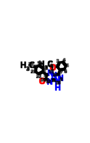 COc1ccccc1-c1n[nH]c2nc(=O)c(-c3ccc(C)cc3)nn12